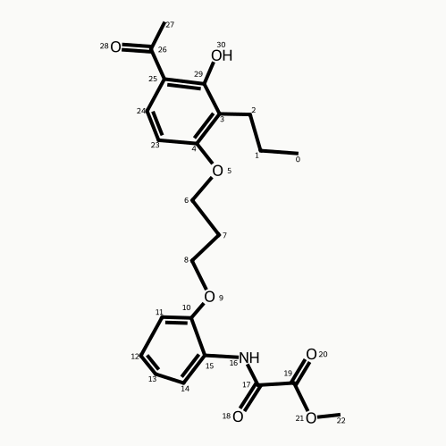 CCCc1c(OCCCOc2ccccc2NC(=O)C(=O)OC)ccc(C(C)=O)c1O